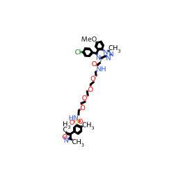 COc1ccc2c(c1)C(c1ccc(Cl)cc1)=N[C@@H](CC(=O)NCCOCCOCCOCCOCCNS(=O)(=O)c1cc(-c3c(C)noc3C)ccc1C)c1nnc(C)n1-2